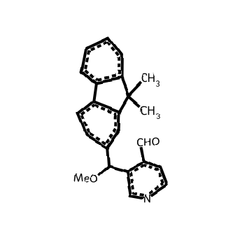 COC(c1ccc2c(c1)C(C)(C)c1ccccc1-2)c1cnccc1C=O